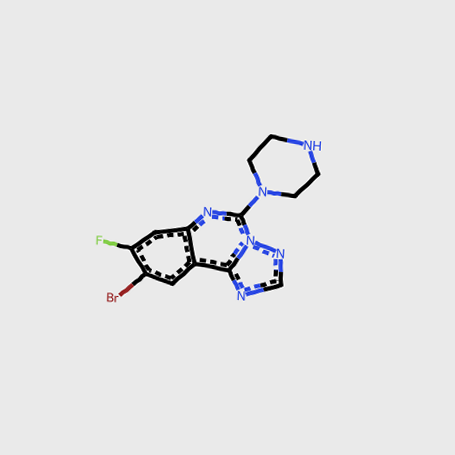 Fc1cc2nc(N3CCNCC3)n3ncnc3c2cc1Br